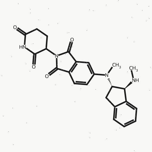 CN[C@H]1c2ccccc2C[C@@H]1N(C)c1ccc2c(c1)C(=O)N(C1CCC(=O)NC1=O)C2=O